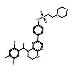 CC(c1cc(F)c(F)cc1F)N1CCNc2ncc(-c3ccc(NS(=O)(=O)CCN4CCOCC4)cc3)nc21